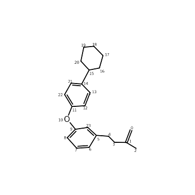 C=C(C)CCc1cccc(Oc2c[c]c(C3CCCCC3)cc2)c1